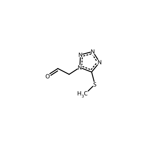 CSc1nnnn1CC=O